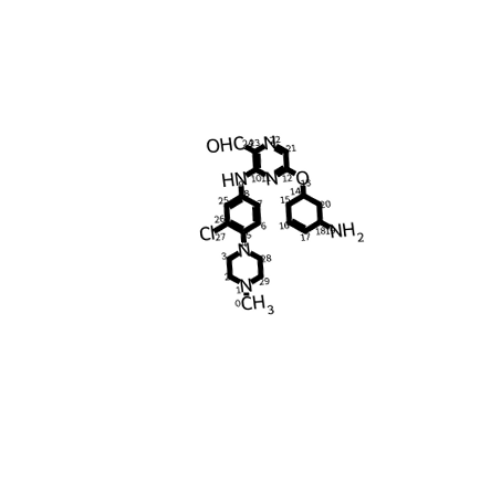 CN1CCN(c2ccc(Nc3nc(OC4CC=CC(N)C4)cnc3C=O)cc2Cl)CC1